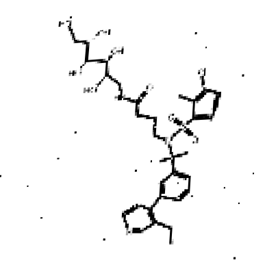 CCc1cnccc1-c1cccc(C(C)(C)N(CCCC(=O)NC[C@@H](O)[C@H](O)[C@@H](O)[C@@H](O)CO)S(=O)(=O)c2cccc(Cl)c2C)c1